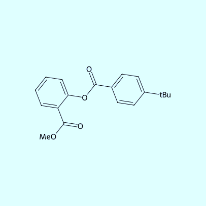 COC(=O)c1ccccc1OC(=O)c1ccc(C(C)(C)C)cc1